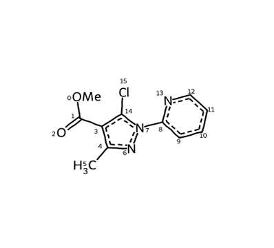 COC(=O)c1c(C)nn(-c2ccccn2)c1Cl